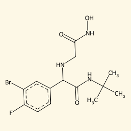 CC(C)(C)NC(=O)C(NCC(=O)NO)c1ccc(F)c(Br)c1